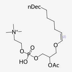 CCCCCCCCCCCCCC/C=C\OCC(COP(=O)(O)OCC[N+](C)(C)C)OC(C)=O